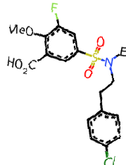 CCN(CCc1ccc(Cl)cc1)S(=O)(=O)c1cc(F)c(OC)c(C(=O)O)c1